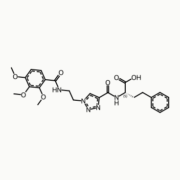 COc1ccc(C(=O)NCCn2cc(C(=O)N[C@@H](CCc3ccccc3)C(=O)O)nn2)c(OC)c1OC